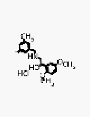 COc1ccc(OC)c([C@H](O)CNCc2cc(C)cc(F)c2)c1.Cl